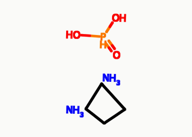 C1CCC1.N.N.O=[PH](O)O